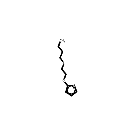 CCCCOCCOc1cccs1